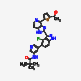 CC(=O)c1ccc(-c2nccc3[nH]c(-c4n[nH]c5ccc(-c6cncc(NC(=O)C(C)(C)C)c6)c(F)c45)nc23)s1